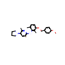 COc1ccc(COc2ccc(C)c(Nc3nc(C)c(N4CC[C@H](F)C4)cc3Br)c2C)cc1